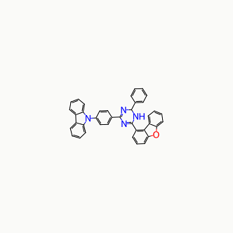 c1ccc(C2N=C(c3ccc(-n4c5ccccc5c5ccccc54)cc3)N=C(c3cccc4oc5ccccc5c34)N2)cc1